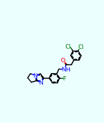 O=C(Cc1ccc(Cl)c(Cl)c1)NCc1cc(-c2cn3c(n2)CCC3)ccc1F